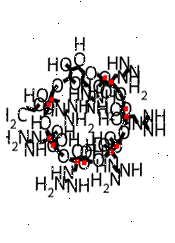 C=CCOC1C2OC(CNC(=N)N)C(OC3OC(CNC(=N)N)C(OC4OC(CNC(=N)N)C(OC5OC(CNC(=N)N)C(OC6OC(CNC(=N)N)C(OC7OC(CNC(=N)N)C(OC8OC(CNC(=N)N)C(O2)C(O)C8O)C(O)C7O)C(O)C6O)C(O)C5O)C(O)C4O)C(O)C3O)C1O